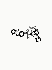 COc1ncc(N2CCOCC2)c2sc(NC(=O)c3ccc(CN4CCCC4=O)cc3)nc12